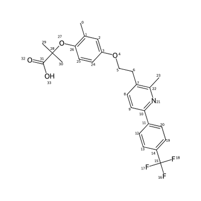 Cc1cc(OCCc2ccc(-c3ccc(C(F)(F)F)cc3)nc2C)ccc1OC(C)(C)C(=O)O